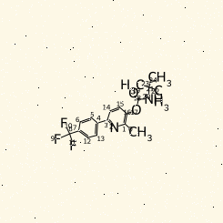 Cc1nc(-c2ccc(C(F)(F)F)cc2)ccc1OC(=O)NC(C)(C)C